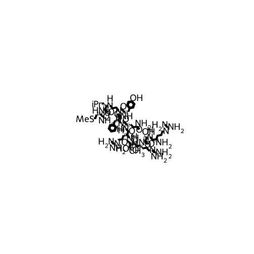 CSCC[C@H](NC(=O)[C@H](CC(C)C)NC(=O)CNC(=O)[C@H](Cc1ccc(O)cc1)NC(=O)[C@H](Cc1ccccc1)NC(=O)[C@H](CCC(N)=O)NC(=O)[C@H](CCCN=C(N)N)NC(=O)[C@@H](NC(=O)[C@H](CCCN=C(N)N)NC(=O)[C@H](CO)NC(=O)[C@@H](N)CCCN=C(N)N)[C@@H](C)O)C(N)=O